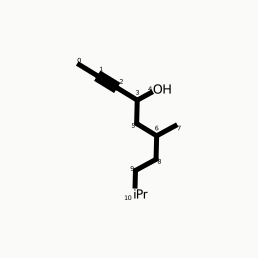 CC#CC(O)CC(C)CCC(C)C